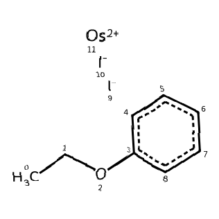 CCOc1ccccc1.[I-].[I-].[Os+2]